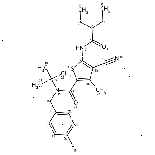 CCC(CC)C(=O)Nc1sc(C(=O)N(Cc2ccc(F)cc2)C(C)(C)C)c(C)c1C#N